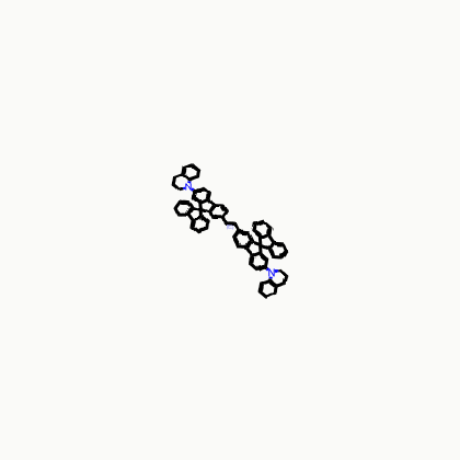 C1=CC2=C(CC1)CCCN2c1ccc2c(c1)C1(c3ccccc3-c3ccccc31)c1cc(/C=C/c3ccc4c(c3)C3(C5=C(CCC=C5)c5ccccc53)c3cc(N5CCCc6ccccc65)ccc3-4)ccc1-2